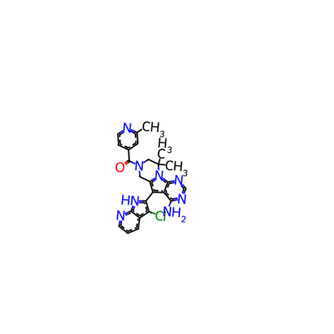 Cc1cc(C(=O)N2Cc3c(-c4[nH]c5ncccc5c4Cl)c4c(N)ncnc4n3C(C)(C)C2)ccn1